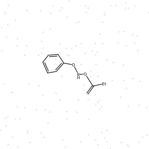 C=C(CC)OBOc1ccccc1